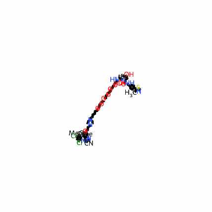 COc1cc(Nc2c(C#N)cnc3cc(OCCCN4CCN(CCCCCCOCCOCCOCCOCCOCCOCC(=O)NC(C(=O)N5C[C@H](O)CC5C(=O)NCc5ccc(-c6scnc6C)cc5)C(C)(C)C)CC4)c(OC)cc23)c(Cl)cc1Cl